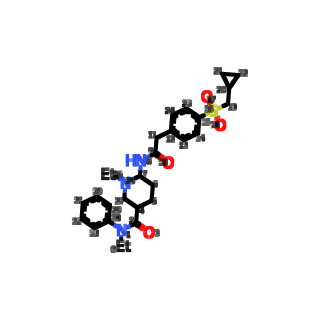 CCN(C(=O)C1CCC(NC(=O)Cc2ccc(S(=O)(=O)CC3CC3)cc2)N(CC)C1)c1ccccc1